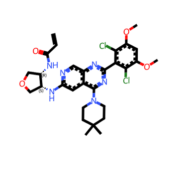 C=CC(=O)N[C@H]1COC[C@H]1Nc1cc2c(N3CCC(C)(C)CC3)nc(-c3c(Cl)c(OC)cc(OC)c3Cl)nc2cn1